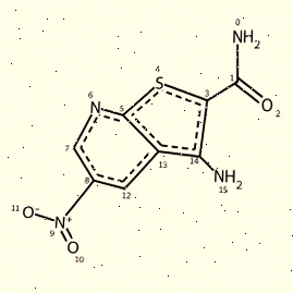 NC(=O)c1sc2ncc([N+](=O)[O-])cc2c1N